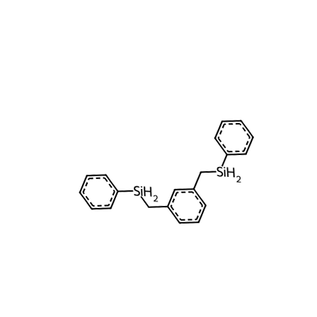 c1ccc([SiH2]Cc2cccc(C[SiH2]c3ccccc3)c2)cc1